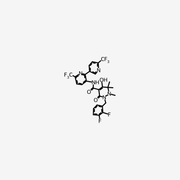 CN1N(Cc2cccc(F)c2F)C(=O)C(C(=O)Nc2ccc(C(F)(F)F)nc2-c2ccc(C(F)(F)F)nc2)=C(O)C1(C)C